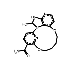 NC(=O)c1ccc2nc1OCCCCOc1ccnc3c1N2C(O)N3